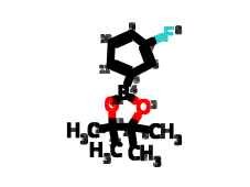 CC1(C)OB(c2[c]c(F)ccc2)OC1(C)C